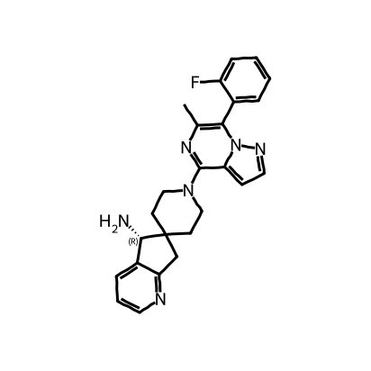 Cc1nc(N2CCC3(CC2)Cc2ncccc2[C@@H]3N)c2ccnn2c1-c1ccccc1F